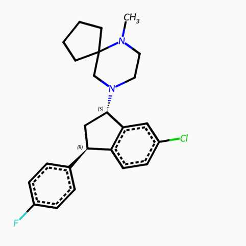 CN1CCN([C@H]2C[C@H](c3ccc(F)cc3)c3ccc(Cl)cc32)CC12CCCC2